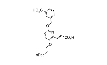 CCCCCCCCCCCCOc1ccc(OCc2cccc(C(=O)O)c2)nc1C=CC(=O)O